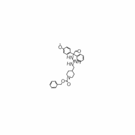 COc1ccc(C(C=O)(NC(=N)NCC2CCN(C(=O)OCc3ccccc3)CC2)c2ccccc2)cc1